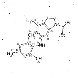 CCC(CC)N1CCc2c(C)nc(Nc3c(C)cc(C)cc3C)nc21